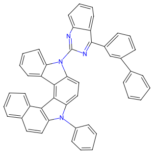 c1ccc(-c2cccc(-c3nc(-n4c5ccccc5c5c6c7c8ccccc8ccc7n(-c7ccccc7)c6ccc54)nc4ccccc34)c2)cc1